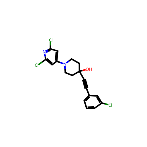 OC1(C#Cc2cccc(Cl)c2)CCN(c2cc(Cl)nc(Cl)c2)CC1